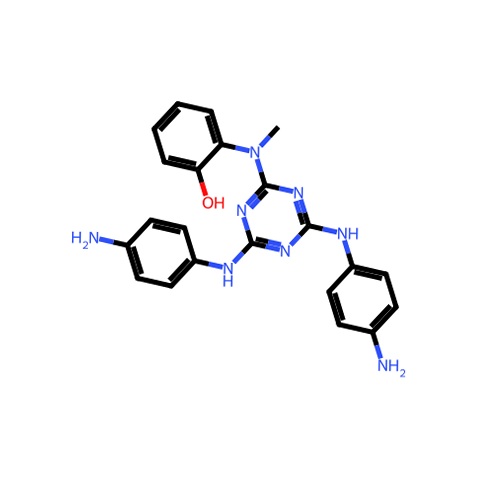 CN(c1nc(Nc2ccc(N)cc2)nc(Nc2ccc(N)cc2)n1)c1ccccc1O